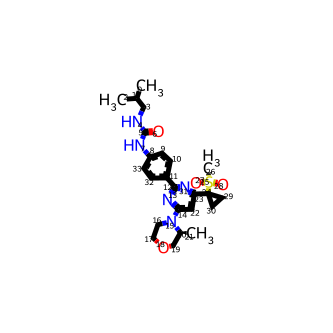 CC(C)CNC(=O)Nc1ccc(-c2nc(N3CCOC[C@@H]3C)cc(C3(S(C)(=O)=O)CC3)n2)cc1